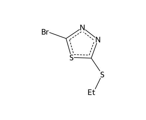 CCSc1nnc(Br)s1